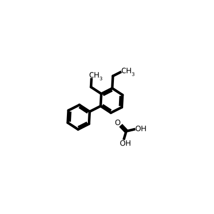 CCc1cccc(-c2ccccc2)c1CC.O=C(O)O